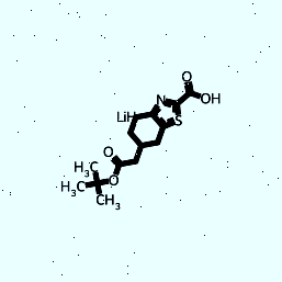 CC(C)(C)OC(=O)CC1CCc2nc(C(=O)O)sc2C1.[LiH]